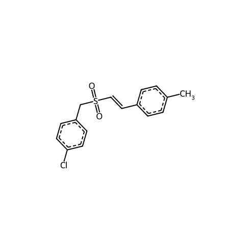 Cc1ccc(C=CS(=O)(=O)Cc2ccc(Cl)cc2)cc1